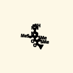 CSCc1nc(-c2nc[nH]n2)ccc1C(=O)C(C(=O)C1CC1)=C(SC)SC